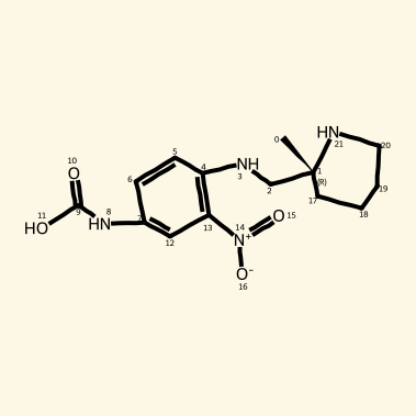 C[C@]1(CNc2ccc(NC(=O)O)cc2[N+](=O)[O-])CCCCN1